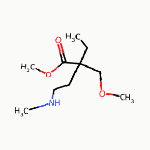 CCC(CCNC)(COC)C(=O)OC